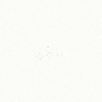 COC(=O)/C=C/c1cc(F)cc(N(C(=O)C2CC3CCC2C3)C(F)c2ccc(Br)cc2F)c1